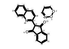 C1=COON=C1.O=C1c2ccccc2C(=O)C1c1ccc2ccccc2n1